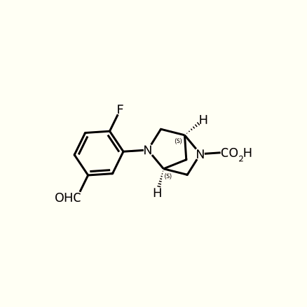 O=Cc1ccc(F)c(N2C[C@@H]3C[C@H]2CN3C(=O)O)c1